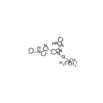 C[Si](C)(C)CCOCn1nc(-c2nc3ccccc3[nH]2)c2cc(-c3cncc4c(NCc5ccccc5)cccc34)ccc21